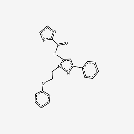 O=C(Oc1cc(-c2ccccc2)nn1CCOc1ccccc1)c1ncco1